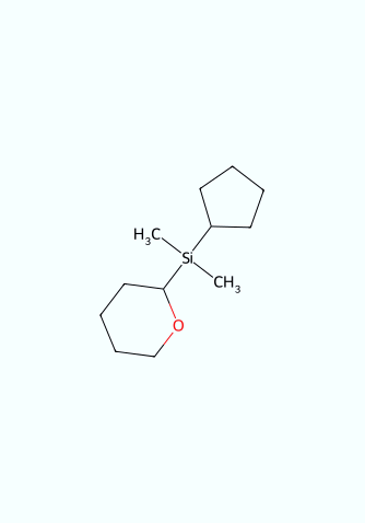 C[Si](C)(C1CCCC1)C1CCCCO1